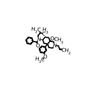 C=CCN1CCC2(c3cccc(OC)c3)C[C@@H](N(CC(C)C)C(=O)c3ccccc3)CCC2(OC)C1